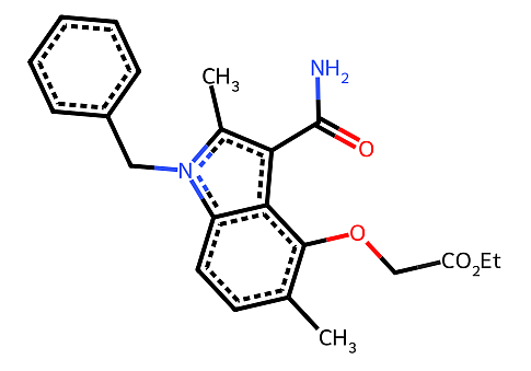 CCOC(=O)COc1c(C)ccc2c1c(C(N)=O)c(C)n2Cc1ccccc1